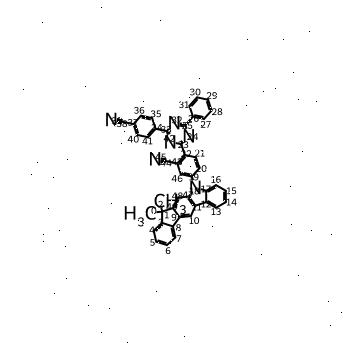 CC1(C)c2ccccc2-c2cc3c4ccccc4n(-c4ccc(-c5nc(-c6ccccc6)nc(-c6ccc(C#N)cc6)n5)c(C#N)c4)c3cc21